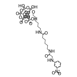 O=C(CCCCCNC(=O)CNc1cccc([N+](=O)[O-])c1)NCCCCCCOP(=O)(O)OP(=O)(O)OP(=O)(O)OP(=O)(O)OP(=O)(O)O